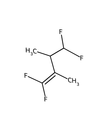 CC(=C(F)F)C(C)C(F)F